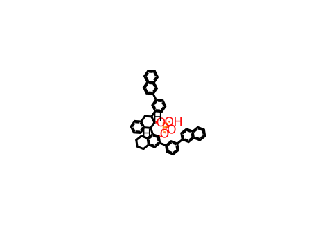 O=P1(O)Oc2c(-c3cccc(-c4ccc5ccccc5c4)c3)cc3c(c2[C@H]2c4ccccc4CC(c4cccc(-c5ccc6ccccc6c5)c4)[C@H]2O1)CCCC3